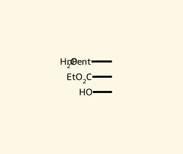 CCCCCC.CCOC(C)=O.CO.O